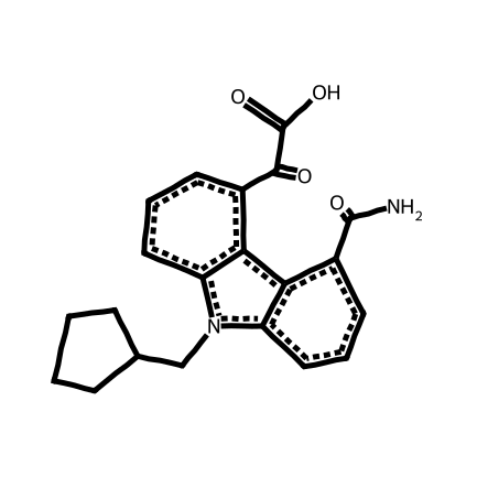 NC(=O)c1cccc2c1c1c(C(=O)C(=O)O)cccc1n2CC1CCCC1